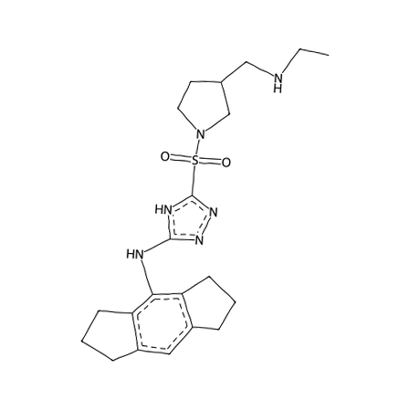 CCNCC1CCN(S(=O)(=O)c2nnc(Nc3c4c(cc5c3CCC5)CCC4)[nH]2)C1